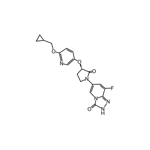 O=C1[C@H](Oc2ccc(OCC3CC3)nc2)CCN1c1cc(F)c2n[nH]c(=O)n2c1